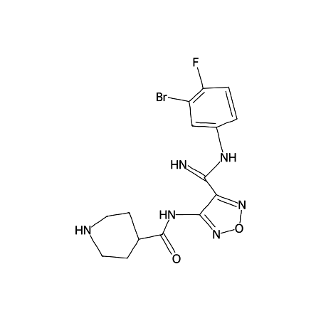 N=C(Nc1ccc(F)c(Br)c1)c1nonc1NC(=O)C1CCNCC1